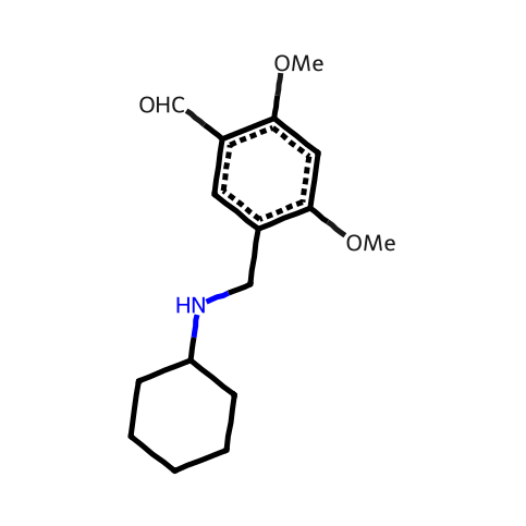 COc1cc(OC)c(CNC2CCCCC2)cc1C=O